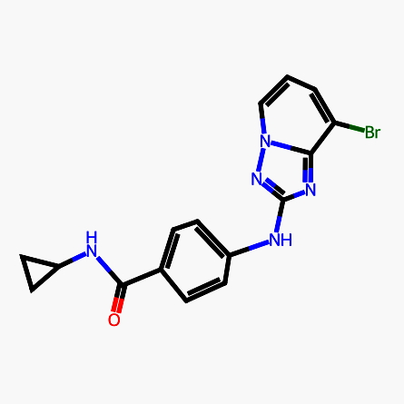 O=C(NC1CC1)c1ccc(Nc2nc3c(Br)cccn3n2)cc1